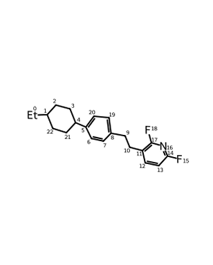 CCC1CCC(c2ccc(CCc3ccc(F)nc3F)cc2)CC1